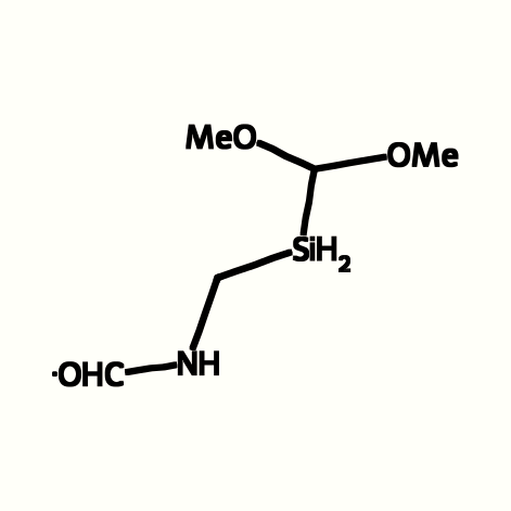 COC(OC)[SiH2]CN[C]=O